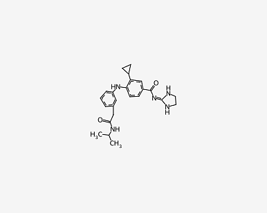 CC(C)NC(=O)Cc1cccc(Nc2ccc(C(=O)N=C3NCCN3)cc2C2CC2)c1